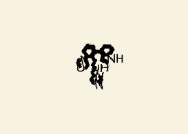 c1cc(-c2cccc3[nH]ccc23)c(CCNCc2ccncn2)c(N2CCOCC2)c1